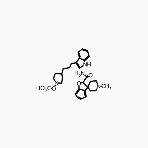 CN1CCC2(CC1)c1ccccc1OC2C(N)=O.O=C(O)ON1CCC(CCCc2c[nH]c3ccccc23)CC1